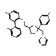 COc1ccc(C2(Cn3ccnc3)OCC(COc3ccc(C)cc3-c3ccccc3C=O)O2)cc1